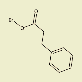 O=C(CCc1ccccc1)OBr